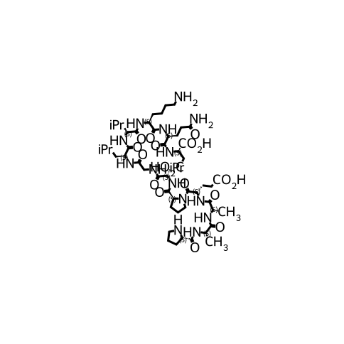 CC(C)C[C@H](NC(=O)CNC(=O)[C@@H](NC(=O)[C@@H]1CCCN1C(=O)[C@H](CCC(=O)O)NC(=O)[C@H](C)NC(=O)[C@H](C)NC(=O)[C@@H]1CCCN1)C(C)C)C(=O)N[C@H](C(=O)N[C@@H](CCCCN)C(=O)N[C@@H](CCC(N)=O)C(=O)N[C@@H](CC(=O)O)C(=O)O)C(C)C